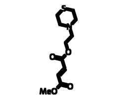 COC(=O)C=CC(=O)OCCN1CCSCC1